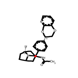 CC(=O)NC1CC2CC[C@@H](C1)N2Cc1ccc([C@H]2COc3cccnc3O2)cc1